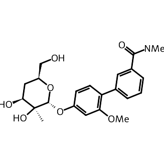 CNC(=O)c1cccc(-c2ccc(O[C@H]3O[C@H](CO)C[C@H](O)[C@]3(C)O)cc2OC)c1